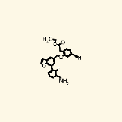 CCOC(=O)Cc1ccc(C#N)cc1OCc1cc(-c2cccc(CN)c2F)c2occc2c1